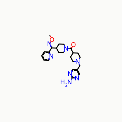 CON=C(c1ccccn1)C1CCN(C(=O)C2CCN(Cc3cnc(N)nc3)CC2)CC1